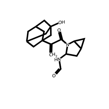 C=C(C(=O)N1C(NC=O)CC2CC21)C12CC3CC(CC(O)(C3)C1)C2